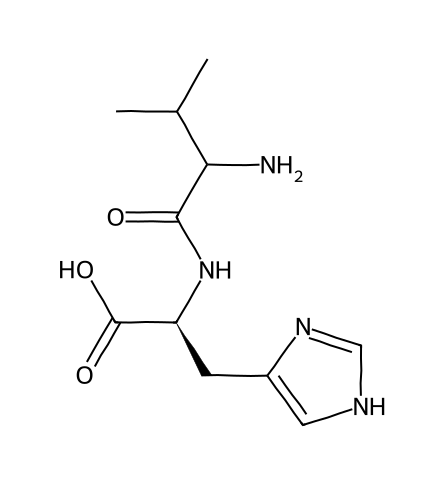 CC(C)C(N)C(=O)N[C@@H](Cc1c[nH]cn1)C(=O)O